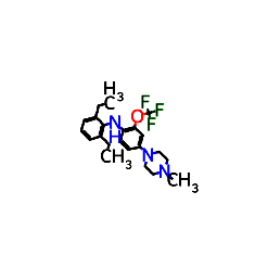 CCc1cccc(CC)c1Nc1ccc(N2CCN(C)CC2)cc1OC(F)(F)F